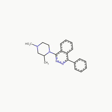 CC1CN(C(=O)O)CCN1c1nnc(-c2ccccc2)c2ccccc12